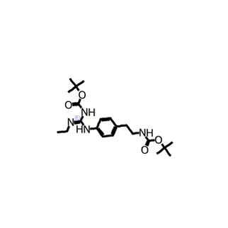 CC/N=C(/NC(=O)OC(C)(C)C)Nc1ccc(CCNC(=O)OC(C)(C)C)cc1